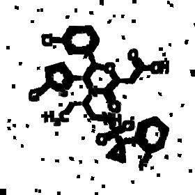 CC[C@@H](CNS(=O)(=O)C1(c2ccccc2F)CC1)N1C(=O)[C@H](CC(=O)O)O[C@H](c2cccc(Cl)c2)[C@H]1c1ccc(Cl)s1